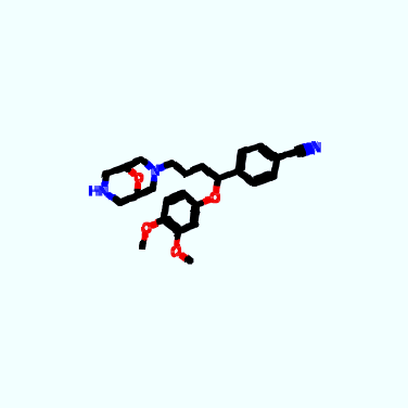 COc1ccc(OC(CCCN2CC3CNCC(C2)O3)c2ccc(C#N)cc2)cc1OC